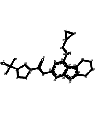 CC(C)(O)[C@@H]1CCN(C(=O)Cc2nc(NCC3CC3)c3c4c(sc3n2)CCCC4)C1